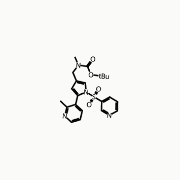 Cc1ncccc1-c1cc(CN(C)C(=O)OC(C)(C)C)cn1S(=O)(=O)c1cccnc1